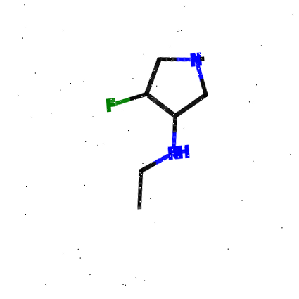 CCNC1C[N]CC1F